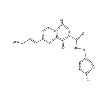 O=C(NCc1ccc(Cl)cc1)c1c[nH]c2ccc(C=CCO)cc2c1=O